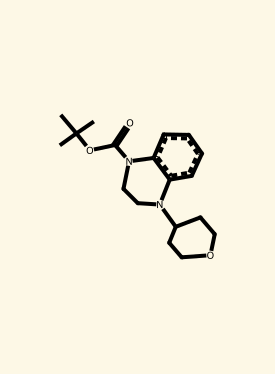 CC(C)(C)OC(=O)N1CCN(C2CCOCC2)c2ccccc21